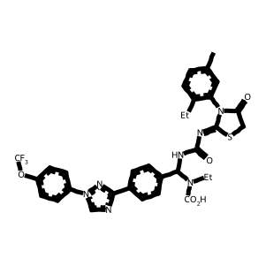 CCc1ccc(C)cc1N1C(=O)CS/C1=N\C(=O)NC(c1ccc(-c2ncn(-c3ccc(OC(F)(F)F)cc3)n2)cc1)N(CC)C(=O)O